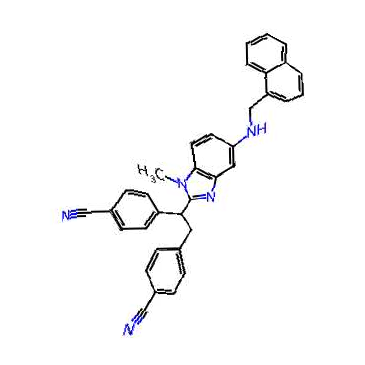 Cn1c(C(Cc2ccc(C#N)cc2)c2ccc(C#N)cc2)nc2cc(NCc3cccc4ccccc34)ccc21